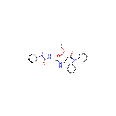 CCOC(=O)c1c(NCCNC(=O)Nc2ccccc2)c2ccccc2n(-c2ccccc2)c1=O